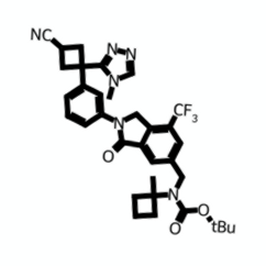 Cn1cnnc1C1(c2cccc(N3Cc4c(cc(CN(C(=O)OC(C)(C)C)C5(C)CCC5)cc4C(F)(F)F)C3=O)c2)CC(C#N)C1